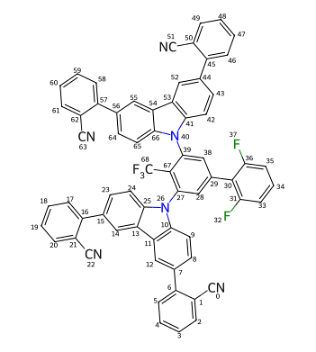 N#Cc1ccccc1-c1ccc2c(c1)c1cc(-c3ccccc3C#N)ccc1n2-c1cc(-c2c(F)cccc2F)cc(-n2c3ccc(-c4ccccc4C#N)cc3c3cc(-c4ccccc4C#N)ccc32)c1C(F)(F)F